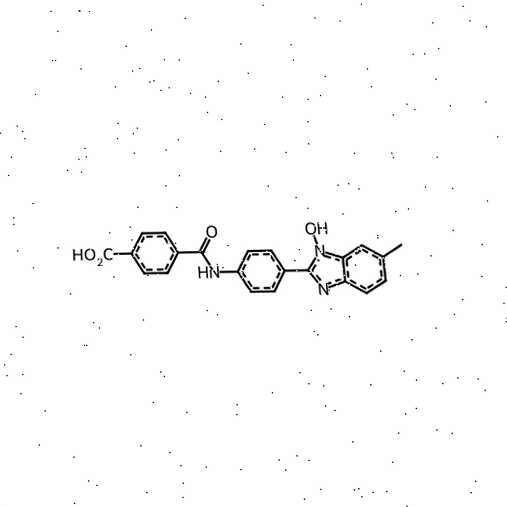 Cc1ccc2nc(-c3ccc(NC(=O)c4ccc(C(=O)O)cc4)cc3)n(O)c2c1